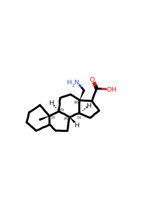 C[C@]12CCCCC1CC[C@H]1[C@@H]3CCC(C(=O)O)[C@@]3(CN)CC[C@@H]12